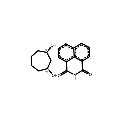 O=C1NC(=O)c2cccc3cccc1c23.O[C@@H]1CCCC[C@H](O)C1